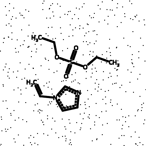 C=Cn1ccnc1.CCOS(=O)(=O)OCC